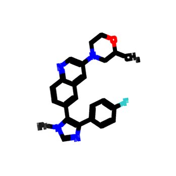 CC1CN(c2cnc3ccc(-c4c(-c5ccc(F)cc5)ncn4C(C)C)cc3c2)CCO1